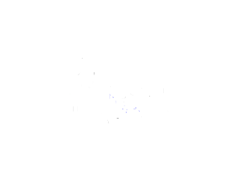 COc1c(Cl)cc(C(F)(F)F)cc1C(=O)/N=c1\cc(C(C)(C)C)n(C)n1C[C@H]1CCCO1